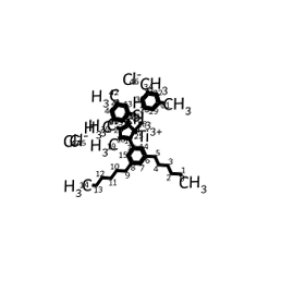 CCCCCCc1cc(CCCCCC)cc(C2=C(C)C(C)=C(C)[C]2([Ti+3])C[SiH](c2cc(C)cc(C)c2)c2cc(C)cc(C)c2)c1.[Cl-].[Cl-].[Cl-]